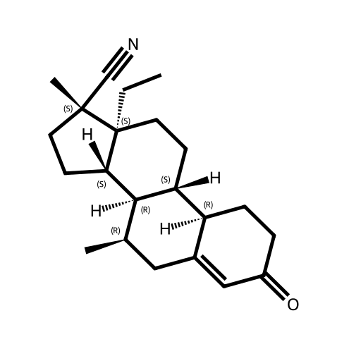 CC[C@]12CC[C@H]3[C@@H]([C@H](C)CC4=CC(=O)CC[C@@H]43)[C@@H]1CC[C@]2(C)C#N